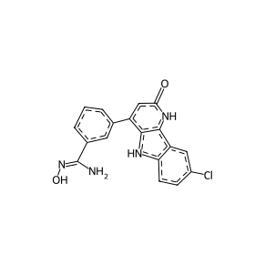 N/C(=N\O)c1cccc(-c2cc(=O)[nH]c3c2[nH]c2ccc(Cl)cc23)c1